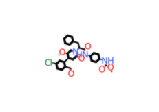 COC(=O)Nc1ccc(NC(=O)C(Cc2ccccc2)n2cc(OC)c(-c3cc(Cl)ccc3C=O)cc2=O)cc1